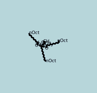 CCCCCCCC/C=C\CCCCCCCCC(CC[N+](C)(C)C)(COC(=O)CCCCCCC/C=C\CCCCCCCC)COC(=O)CCCCCCC/C=C\CCCCCCCC